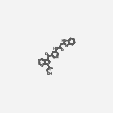 C[C@@H](CO)n1cc(C(=O)c2cncc(NC(=O)Cc3nc4ccccc4[nH]3)c2)c2cncnc21